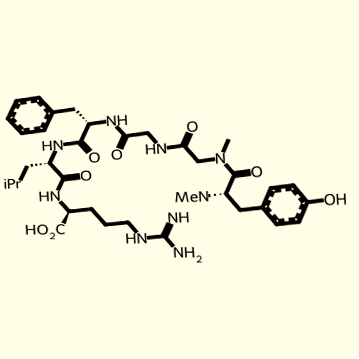 CN[C@@H](Cc1ccc(O)cc1)C(=O)N(C)CC(=O)NCC(=O)N[C@@H](Cc1ccccc1)C(=O)N[C@@H](CC(C)C)C(=O)N[C@@H](CCCNC(=N)N)C(=O)O